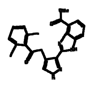 COC(=O)c1cccc2[nH]c(-c3n[nH]cc3CC(=O)c3c(C)cccc3C)nc12